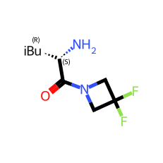 CC[C@@H](C)[C@H](N)C(=O)N1CC(F)(F)C1